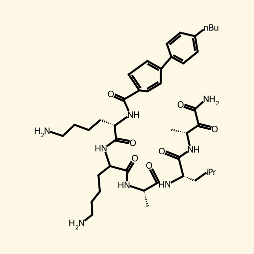 CCCCc1ccc(-c2ccc(C(=O)N[C@@H](CCCCN)C(=O)NC(CCCCN)C(=O)N[C@@H](C)C(=O)N[C@@H](CC(C)C)C(=O)N[C@H](C)C(=O)C(N)=O)cc2)cc1